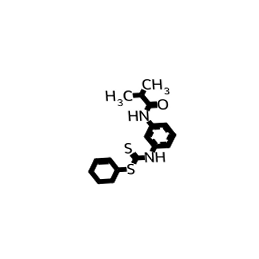 CC(C)C(=O)Nc1cccc(NC(=S)SC2C=CCCC2)c1